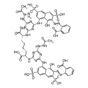 CC(=O)NNc1nc(Nc2cc(S(=O)(=O)O)cc3cc(S(=O)(=O)O)c(/N=N/c4ccccc4C(=O)O)c(O)c23)nc(NC(CSSCC(Nc2nc(Nc3cc(S(=O)(=O)O)cc4cc(S(=O)(=O)O)c(/N=N/c5ccccc5C(=O)O)c(O)c34)nc(NN(N)C(C)=O)n2)C(=O)O)C(=O)O)n1